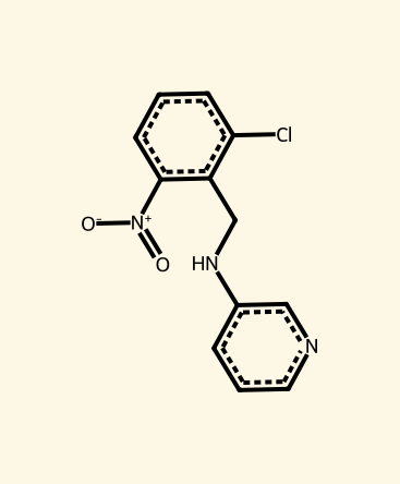 O=[N+]([O-])c1cccc(Cl)c1CNc1cccnc1